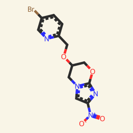 O=[N+]([O-])c1cn2c(n1)OCC(OCc1ccc(Br)cn1)C2